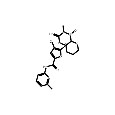 Cc1cccc(NC(=O)c2cc(Cl)c([C@]34CCCOC3[S+]([O-])N(C)C(=N)N4)s2)n1